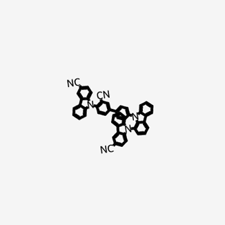 N#Cc1ccc2c(c1)c1ccccc1n2-c1ccc(-c2ccc(-n3c4ccccc4c4cccc(-n5c6ccccc6c6cc(C#N)ccc65)c43)cc2)cc1C#N